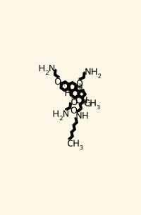 CCCCCCCCNC(=O)CC[C@H](C)C1CC[C@H]2C3C(OCCCN)CC4C[C@H](OCCCN)CC[C@]4(C)[C@H]3C[C@H](OCCCN)[C@]12C